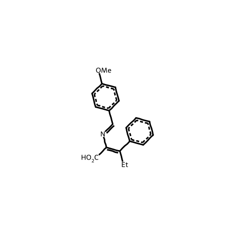 CCC(=C(N=Cc1ccc(OC)cc1)C(=O)O)c1ccccc1